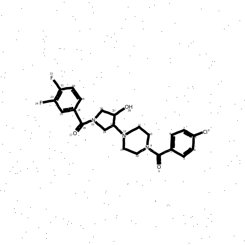 O=C(c1ccc(Cl)cc1)N1CCN(C2CN(C(=O)c3ccc(F)c(F)c3)CC2O)CC1